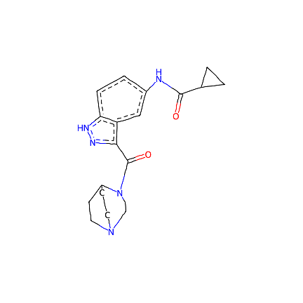 O=C(Nc1ccc2[nH]nc(C(=O)N3CCN4CCC3CC4)c2c1)C1CC1